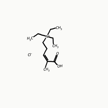 CC[N+](CC)(CC)CCC=C(C)C(=O)O.[Cl-]